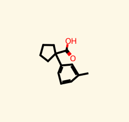 Cc1cccc(C2(C(=O)O)CCCC2)c1